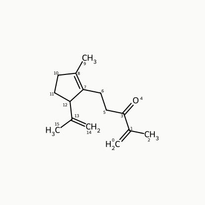 C=C(C)C(=O)CCC1=C(C)CCC1C(=C)C